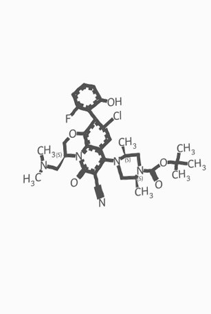 C[C@H]1CN(c2c(C#N)c(=O)n3c4c(c(-c5c(O)cccc5F)c(Cl)cc24)OC[C@@H]3CN(C)C)[C@@H](C)CN1C(=O)OC(C)(C)C